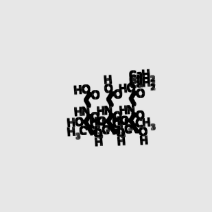 CC(C)(CO)C(O)C(=O)NCCC(=O)O.CC(C)(CO)C(O)C(=O)NCCC(=O)O.CC(C)(CO)C(O)C(=O)NCCC(=O)O.[CaH2].[CaH2].[CaH2]